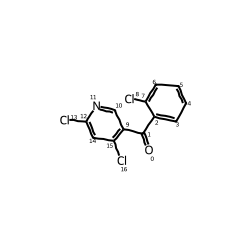 O=C(c1ccccc1Cl)c1cnc(Cl)cc1Cl